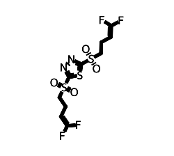 O=S(=O)(CCC=C(F)F)c1nnc(S(=O)(=O)CCC=C(F)F)s1